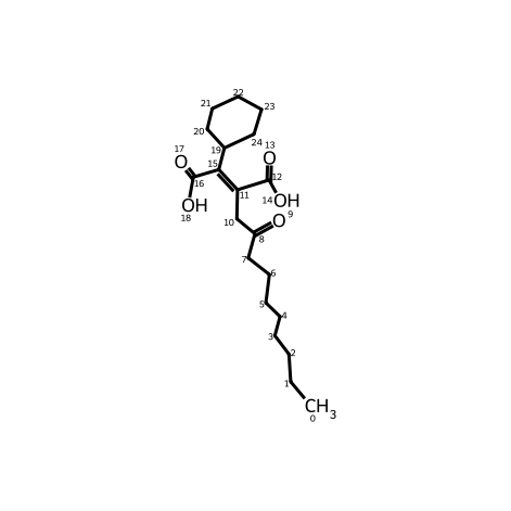 CCCCCCCCC(=O)C/C(C(=O)O)=C(\C(=O)O)C1CCCCC1